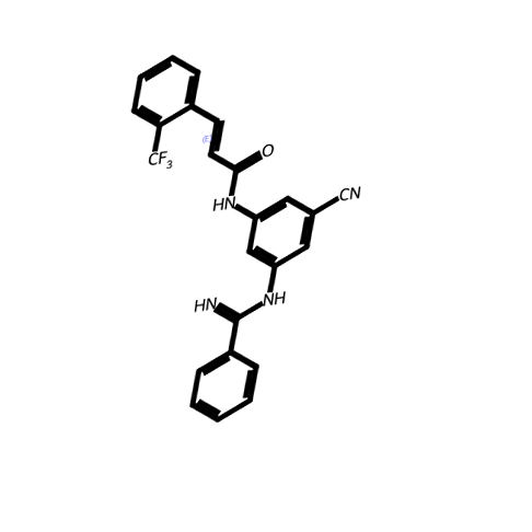 N#Cc1cc(NC(=N)c2ccccc2)cc(NC(=O)/C=C/c2ccccc2C(F)(F)F)c1